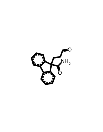 NC(=O)C1(CCC=O)c2ccccc2-c2ccccc21